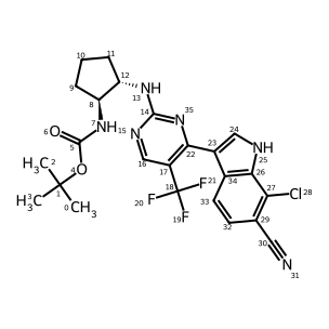 CC(C)(C)OC(=O)N[C@H]1CCC[C@@H]1Nc1ncc(C(F)(F)F)c(-c2c[nH]c3c(Cl)c(C#N)ccc23)n1